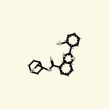 O=C(NC1CN2CCC1CC2)c1cccc2oc(-c3ccccc3O)nc12